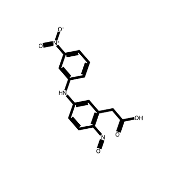 O=Nc1ccc(Nc2cccc([N+](=O)[O-])c2)cc1CC(=O)O